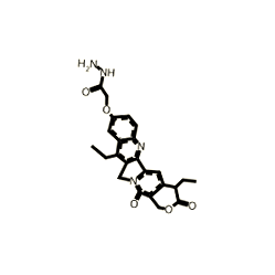 CCc1c2c(nc3ccc(OCC(=O)NN)cc13)-c1cc3c(c(=O)n1C2)COC(=O)C3CC